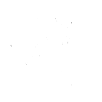 CCCN1CCC([PH](=O)Cc2ccccc2)[C@]1(C(=O)O)C(=O)[C@@H](C)N.CCCN1CCC([PH](=O)Cc2ccccc2)[C@]1(C(=O)O)C(=O)[C@@H](C)N.N.N